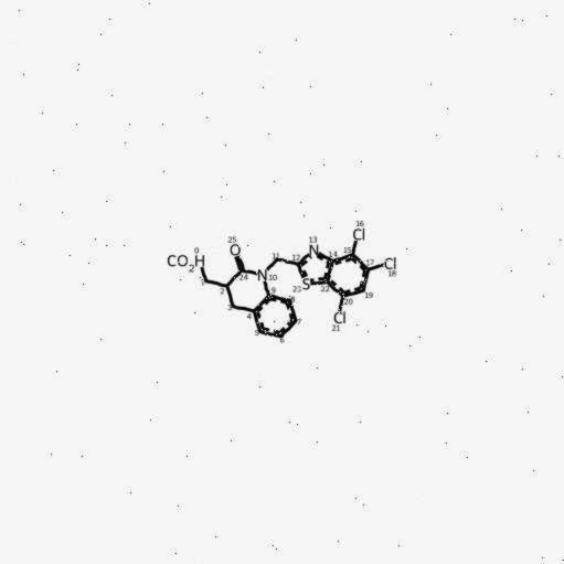 O=C(O)CC1Cc2ccccc2N(Cc2nc3c(Cl)c(Cl)cc(Cl)c3s2)C1=O